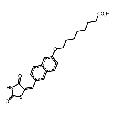 O=C(O)CCCCCCCOc1ccc2cc(C=C3SC(=O)NC3=O)ccc2c1